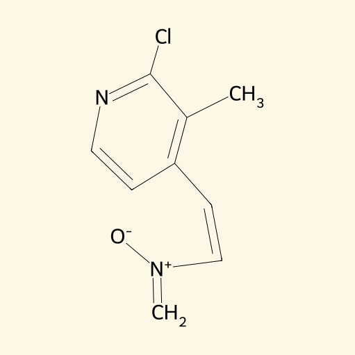 C=[N+]([O-])/C=C\c1ccnc(Cl)c1C